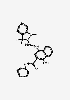 CN1c2ccccc2C(C)(C)C1NNc1cc(C(=O)Nc2ccccc2)c(O)c2ccccc12